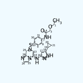 CCOCC(=O)Nc1ccc(SN2C=C(Nc3cc(C4CC4)[nH]n3)[N+]3C=CN=C3C2)cc1